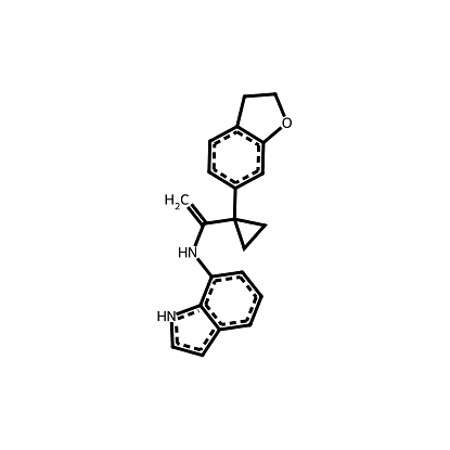 C=C(Nc1cccc2cc[nH]c12)C1(c2ccc3c(c2)OCC3)CC1